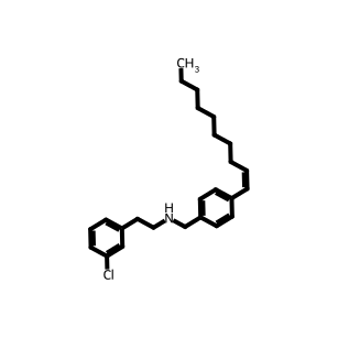 CCCCCCCC/C=C\c1ccc(CNCCc2cccc(Cl)c2)cc1